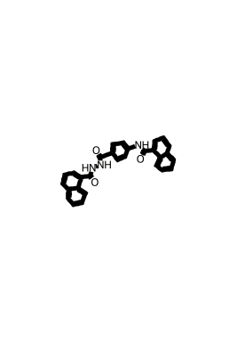 O=C(NNC(=O)c1cccc2ccccc12)c1ccc(NC(=O)c2cccc3ccccc23)cc1